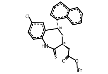 CC(C)OC(=O)C[C@@H]1S[C@@H](c2cccc3ccccc23)c2cc(Cl)ccc2NC1=S